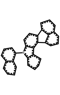 c1ccc2c(-n3c4ccccc4c4c5c(ccc43)-c3cccc4cccc-5c34)cccc2c1